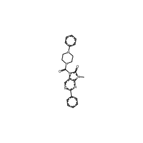 Cn1c(=O)n(C(=O)N2CCN(c3ccccc3)CC2)c2cnc(-c3ccccc3)nc21